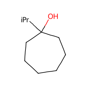 CC(C)C1(O)CCCCCC1